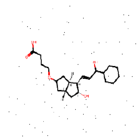 O=C(O)CCCOC1C[C@H]2C[C@@H](O)[C@H](C=CC(O)C3CCCCC3)[C@@H]2C1